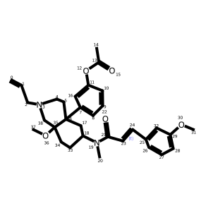 C=CCN1CCC2(c3cccc(OC(C)=O)c3)CC(N(C)C(=O)/C=C/c3cccc(OC)c3)CCC2(OC)C1